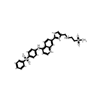 CS(=O)(=O)CCNCc1csc(-c2ccc3c(Nc4ccc(S(=O)(=O)c5ccccc5)cc4)ccnc3c2)n1